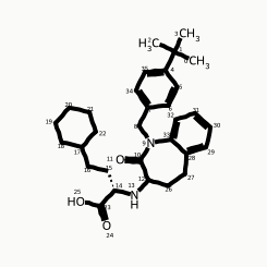 CC(C)(C)c1ccc(CN2C(=O)C(N[C@@H](CCC3CCCCC3)C(=O)O)CCc3ccccc32)cc1